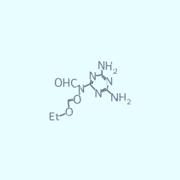 CCOCON(C=O)c1nc(N)nc(N)n1